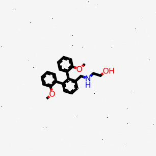 COc1ccccc1-c1cccc(CNCCO)c1-c1ccccc1OC